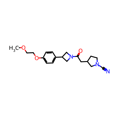 COCCOc1ccc(C2CN(C(=O)CC3CCN(C#N)C3)C2)cc1